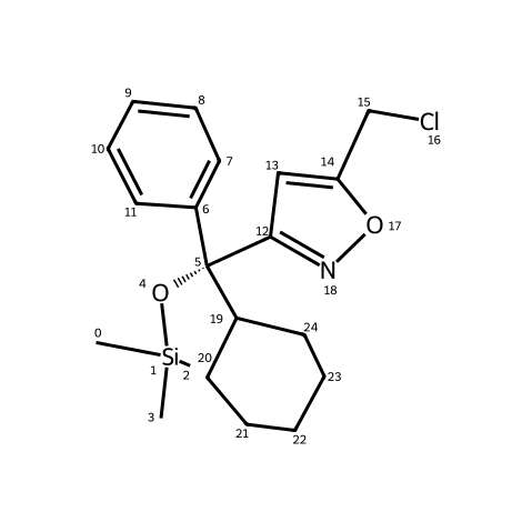 C[Si](C)(C)O[C@](c1ccccc1)(c1cc(CCl)on1)C1CCCCC1